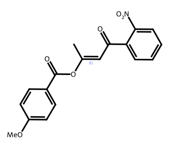 COc1ccc(C(=O)O/C(C)=C/C(=O)c2ccccc2[N+](=O)[O-])cc1